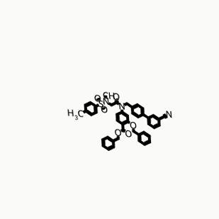 Cc1ccc(S(=O)(=O)N(C)CC(=O)N(Cc2ccc(-c3cccc(C#N)c3)cc2)c2ccc(C(=O)OCc3ccccc3)c(OCc3ccccc3)c2)cc1